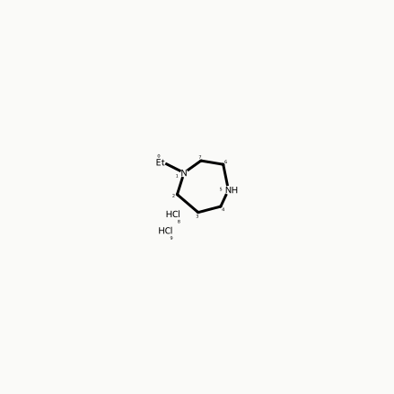 CCN1CCCNCC1.Cl.Cl